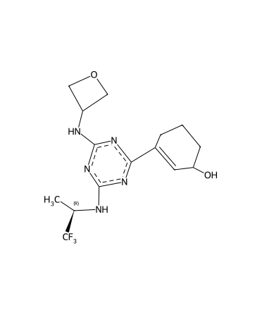 C[C@@H](Nc1nc(NC2COC2)nc(C2=CC(O)CCC2)n1)C(F)(F)F